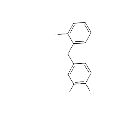 Cc1cc(Cc2ccccc2F)ccc1C(F)(F)F